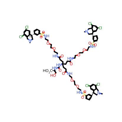 CN1Cc2c(Cl)cc(Cl)cc2[C@H](c2cccc(S(=O)(=O)NCCOCCOCCNC(=O)CCC(CCC(=O)NCCOCCOCCNS(=O)(=O)c3cccc([C@@H]4CN(C)Cc5c(Cl)cc(Cl)cc54)c3)(CCC(=O)NCCOCCOCCNS(=O)(=O)c3cccc([C@@H]4CN(C)Cc5c(Cl)cc(Cl)cc54)c3)NC(=O)N[C@@H](CO)C(=O)O)c2)C1